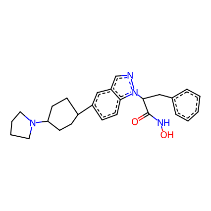 O=C(NO)C(Cc1ccccc1)n1ncc2cc(C3CCC(N4CCCC4)CC3)ccc21